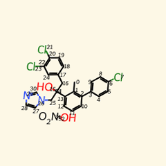 Cc1c(-c2ccc(Cl)cc2)cccc1C(O)(Cc1ccc(Cl)c(Cl)c1)Cn1ccnc1.O=[N+]([O-])O